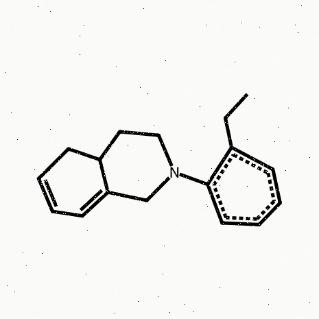 CCc1ccccc1N1CCC2CC=CC=C2C1